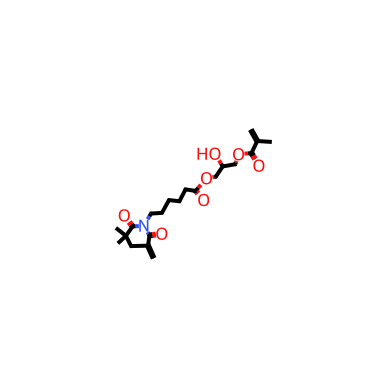 C=C(C)C(=O)OCC(O)COC(=O)CCCCCN1C(=O)C(=C)CC(C)(C)C1=O